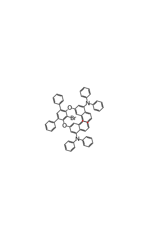 Brc1c(Oc2cc(N(c3ccccc3)c3ccccc3)c3ccccc3c2)c(-c2ccccc2)cc(-c2ccccc2)c1Oc1cc(N(c2ccccc2)c2ccccc2)c2ccccc2c1